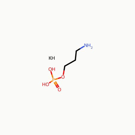 NCCCOP(=O)(O)O.[KH]